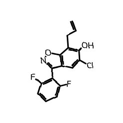 C=CCc1c(O)c(Cl)cc2c(-c3c(F)cccc3F)noc12